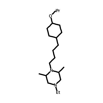 CCN1CC(C)N(CCCCC2CCC(OC(C)C)CC2)C(C)C1